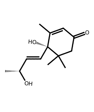 CC1=CC(=O)CC(C)(C)[C@@]1(O)C=C[C@@H](C)O